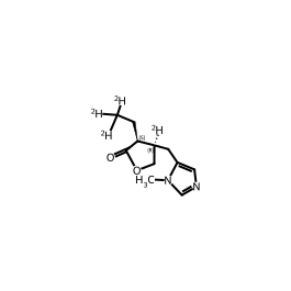 [2H]C([2H])([2H])C[C@@H]1C(=O)OC[C@]1([2H])Cc1cncn1C